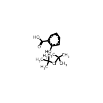 C[C](C)(C)[Cr][C](C)(C)C.O=C(O)c1ccccc1O